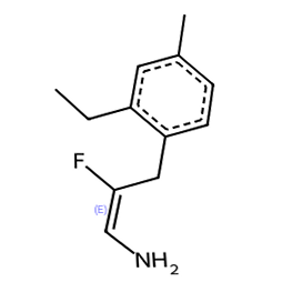 CCc1cc(C)ccc1C/C(F)=C\N